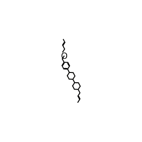 CC=CCCOCc1ccc(C2CCC(C3CCC(CC=CC)CC3)CC2)cc1